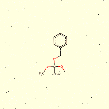 CCCCCCCCCC[Si](OCc1ccccc1)(OC(F)(F)F)OC(F)(F)F